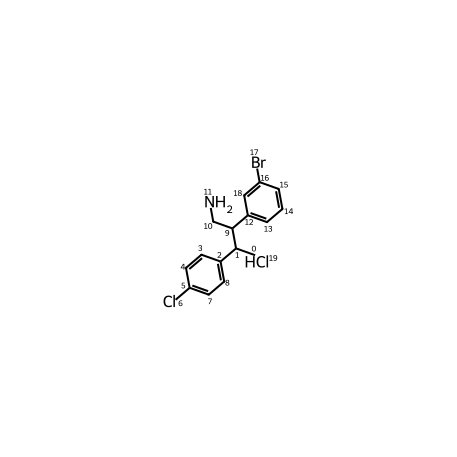 CC(c1ccc(Cl)cc1)C(CN)c1cccc(Br)c1.Cl